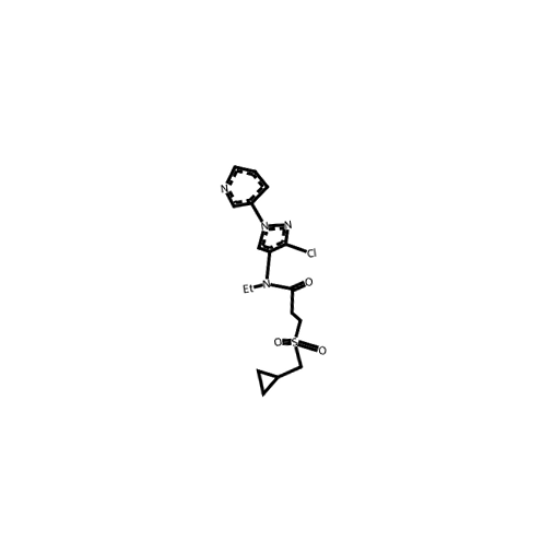 CCN(C(=O)CCS(=O)(=O)CC1CC1)c1cn(-c2cccnc2)nc1Cl